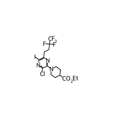 CCOC(=O)C1CCN(c2nc(CCC(F)(F)C(F)(F)F)c(I)nc2Cl)CC1